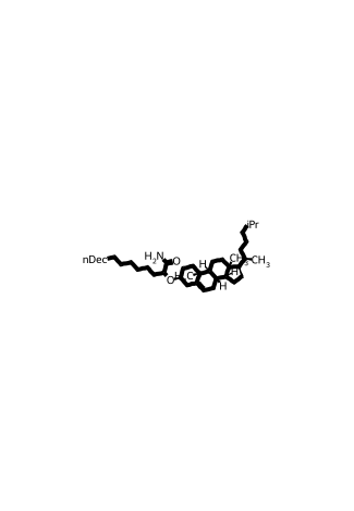 CCCCCCCCCCCCCCCCC(O[C@H]1CC[C@@]2(C)C(=CC[C@H]3[C@@H]4CC[C@H]([C@H](C)CCCC(C)C)[C@@]4(C)CC[C@@H]32)C1)C(N)=O